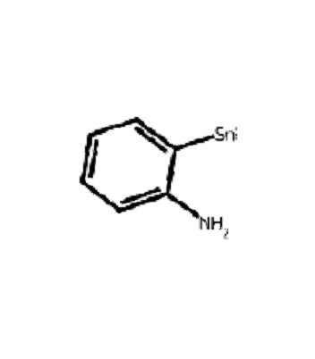 Nc1cccc[c]1[Sn]